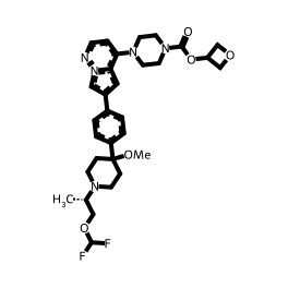 COC1(c2ccc(-c3cc4c(N5CCN(C(=O)OC6COC6)CC5)ccnn4c3)cc2)CCN([C@@H](C)COC(F)F)CC1